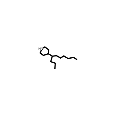 CCCCCCC(CCC)C1CCNCC1